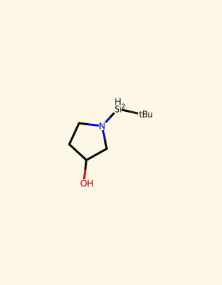 CC(C)(C)[SiH2]N1CCC(O)C1